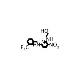 O=[N+]([O-])c1ccc(NCc2cccc(C(F)(F)F)c2)nc1NCCO